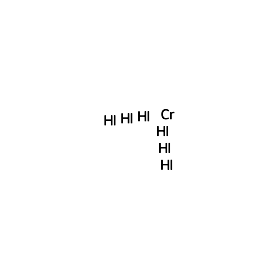 I.I.I.I.I.I.[Cr]